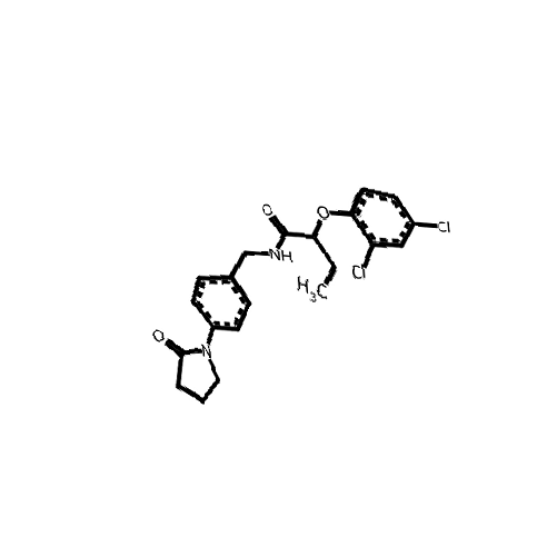 CCC(Oc1ccc(Cl)cc1Cl)C(=O)NCc1ccc(N2CCCC2=O)cc1